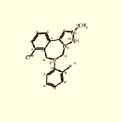 CN1C=C2c3cccc(Cl)c3CN(c3ccccc3F)CN2N1